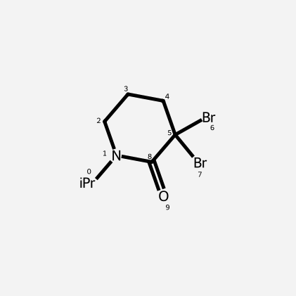 CC(C)N1CCCC(Br)(Br)C1=O